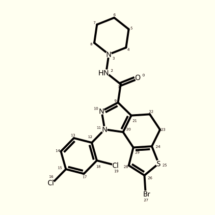 O=C(NN1CCCCC1)c1nn(-c2ccc(Cl)cc2Cl)c2c1CCc1sc(Br)cc1-2